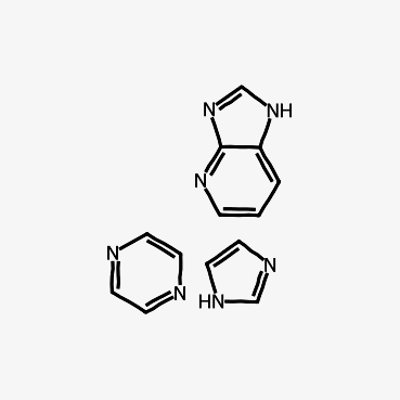 c1c[nH]cn1.c1cnc2nc[nH]c2c1.c1cnccn1